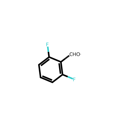 O=[C]c1c(F)cccc1F